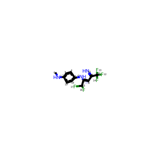 CNc1ccc(N/C(=C\C(=N)C(F)(F)F)C(F)F)cc1